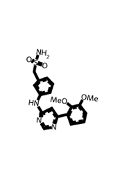 COc1cccc(-c2cc(Nc3cccc(CS(N)(=O)=O)c3)ncn2)c1OC